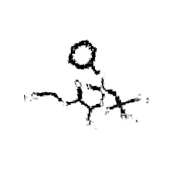 CCOC(=O)C(C)OP(=O)(CC(C)(C)N)Oc1ccccc1